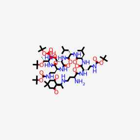 CC(NCC[C@H](N)C(=O)N[C@@H](CCNC(=O)OC(C)(C)C)C(=O)N[C@H](CC(C)C)C(=O)N[C@@H](CC(C)C)C(=O)N[C@@H](CCNC(=O)OC(C)(C)C)C(=O)N[C@@H](CCNC(=O)OC(C)(C)C)C(=O)N[C@H](C(=O)O)[C@@H](C)OC(C)(C)C)=C1C(=O)CC(C)(C)CC1=O